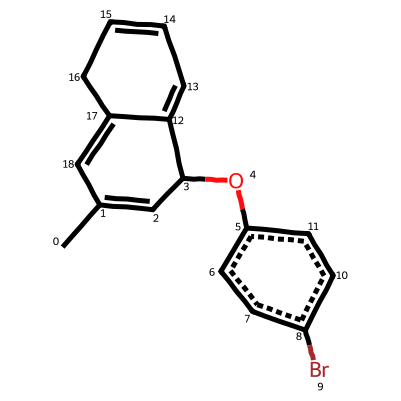 CC1=CC(Oc2ccc(Br)cc2)C2=CC=CCC2=C1